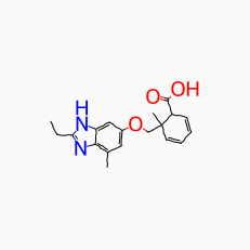 CCc1nc2c(C)cc(OCC3(C)C=CC=CC3C(=O)O)cc2[nH]1